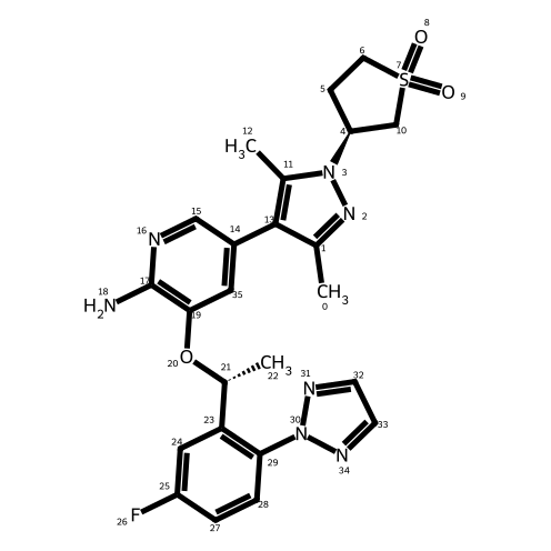 Cc1nn([C@H]2CCS(=O)(=O)C2)c(C)c1-c1cnc(N)c(O[C@H](C)c2cc(F)ccc2-n2nccn2)c1